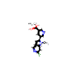 COC(=O)c1cncc(-c2cc3cnc(Cl)cc3n2C)c1